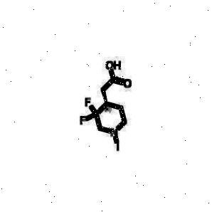 O=C(O)C[C@H]1CCN(I)CC1(F)F